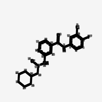 O=C(Nc1ccc(F)c(Cl)c1)c1ccnc(N[S+]([O-])CC2CCCCC2)c1